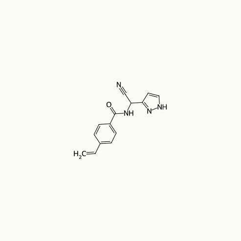 C=Cc1ccc(C(=O)NC(C#N)c2cc[nH]n2)cc1